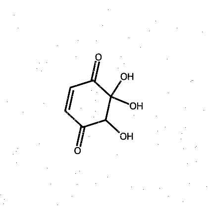 O=C1C=CC(=O)C(O)(O)C1O